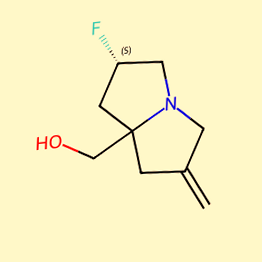 C=C1CN2C[C@@H](F)CC2(CO)C1